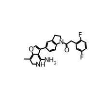 CC1=c2occ(-c3ccc4c(c3)CCN4C(=O)Cc3cc(F)ccc3F)c2=C(N)NC1